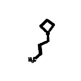 C/C=C/CN1CCC1